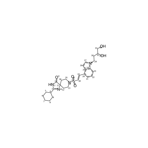 O=C1NC(C2CCCCC2)=NC12CCN(S(=O)(=O)/C=C/c1cccc3c1ccn3CCC(O)CO)CC2